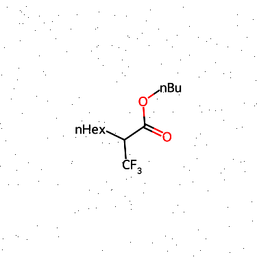 CCCCCCC(C(=O)OCCCC)C(F)(F)F